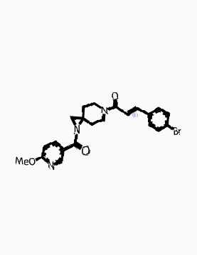 COc1ccc(C(=O)N2CC23CCN(C(=O)/C=C/c2ccc(Br)cc2)CC3)cn1